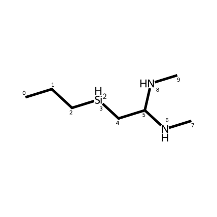 CCC[SiH2]CC(NC)NC